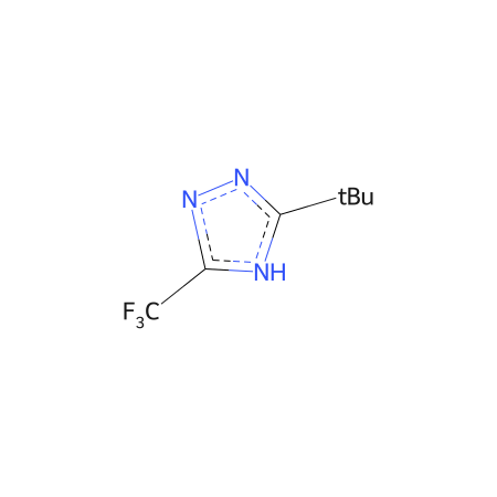 CC(C)(C)c1nnc(C(F)(F)F)[nH]1